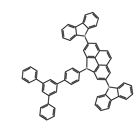 c1ccc(-c2cc(-c3ccccc3)cc(-c3ccc(-n4c5cc(-n6c7ccccc7c7ccccc76)cc6ccc7cc(-n8c9ccccc9c9ccccc98)cc4c7c65)cc3)c2)cc1